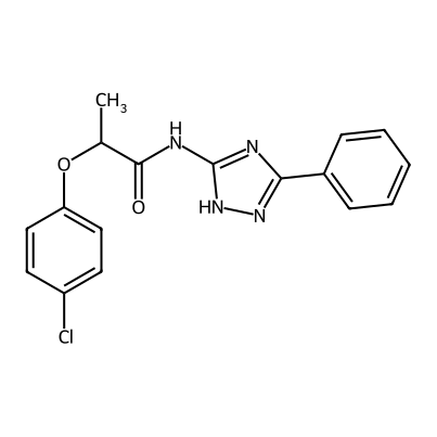 CC(Oc1ccc(Cl)cc1)C(=O)Nc1nc(-c2ccccc2)n[nH]1